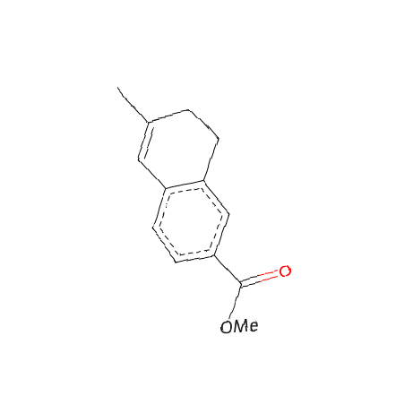 COC(=O)c1ccc2c(c1)CCC(C)=C2